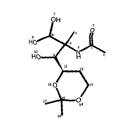 CC(=O)NC(C)(C(O)O)C(O)[C@H]1CCOC(C)(C)O1